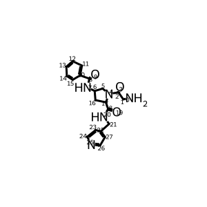 NCC(=O)N1CC(NC(=O)c2ccccc2)CC1C(=O)NCc1ccncc1